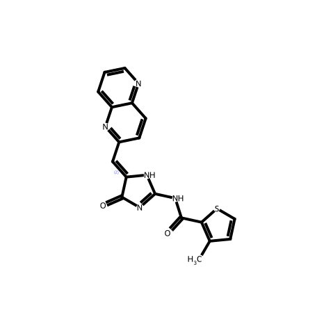 Cc1ccsc1C(=O)NC1=NC(=O)/C(=C/c2ccc3ncccc3n2)N1